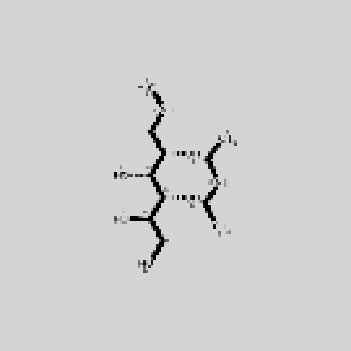 CCNCC.CNC[C@H](O)[C@@H](O)[C@H](O)[C@H](O)CO